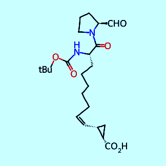 CC(C)(C)OC(=O)N[C@@H](CCCCC/C=C\[C@@H]1C[C@@H]1C(=O)O)C(=O)N1CCC[C@H]1C=O